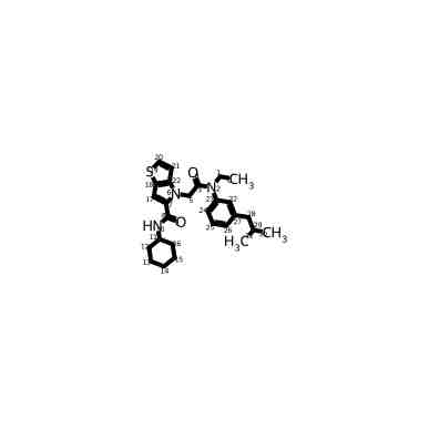 CCN(C(=O)Cn1c(C(=O)NC2CCCCC2)cc2sccc21)c1cccc(CC(C)C)c1